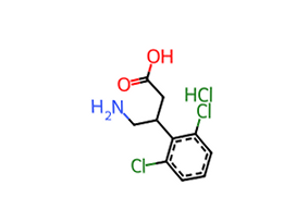 Cl.NCC(CC(=O)O)c1c(Cl)cccc1Cl